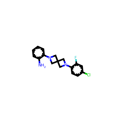 Nc1ccccc1N1CC2(C1)CN(c1ccc(Cl)cc1F)C2